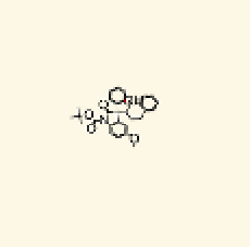 COc1ccc2c(c1)C(c1ccccc1)(C1C=Cc3ccccc3C1O)C(=O)N2C(=O)OC(C)(C)C